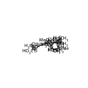 CC[C@H]1OC(=O)[C@H](C)[C@@H](O[C@H]2C[C@@](C)(OC)[C@@H](OC(=O)CCNCCCc3ccc4c(c3)c(=O)c(C(=O)O)cn4N(C)C)[C@H](C)O2)[C@H](C)[C@@H](O[C@@H]2O[C@H](C)C[C@H](N(C)C)[C@H]2O)[C@](C)(O)C[C@@H](C)/C(=N\OC)[C@@H](C)[C@@H](O)[C@]1(C)O